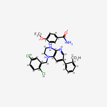 NC(=O)c1ccc(OC(F)(F)F)cc1.O=C(O)c1ccccc1-c1cnc2c(c1)N(Cc1cc(Cl)ccc1Cl)CCN2